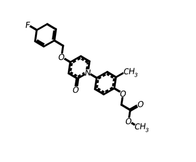 COC(=O)COc1ccc(-n2ccc(OCC3=CCC(F)C=C3)cc2=O)cc1C